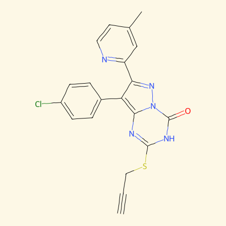 C#CCSc1nc2c(-c3ccc(Cl)cc3)c(-c3cc(C)ccn3)nn2c(=O)[nH]1